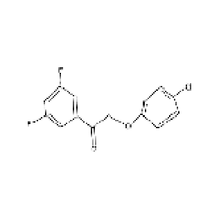 O=C(COc1ccc(Cl)cc1)c1cc(F)cc(F)c1